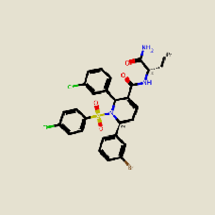 CC(C)C[C@H](NC(=O)C1=CC[C@@H](c2cccc(Br)c2)N(S(=O)(=O)c2ccc(Cl)cc2)C1c1cccc(Cl)c1)C(N)=O